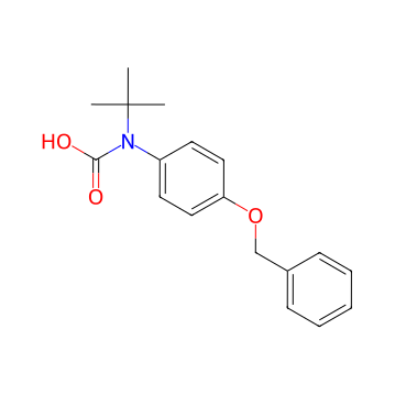 CC(C)(C)N(C(=O)O)c1ccc(OCc2ccccc2)cc1